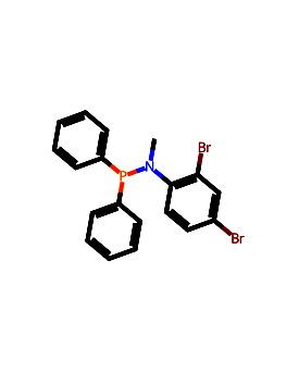 CN(c1ccc(Br)cc1Br)P(c1ccccc1)c1ccccc1